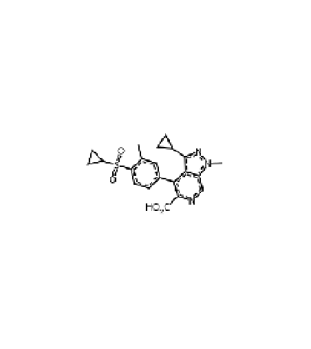 Cc1cc(-c2c(C(=O)O)ncc3c2c(C2CC2)nn3C)ccc1S(=O)(=O)C1CC1